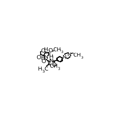 CCO[C@H]1CN(C(=O)[C@@H](NC(=O)c2ccc(N3CCN(CC)CC3)cc2)[C@@H](C)CC)[C@@H]2C(=O)CO[C@H]12